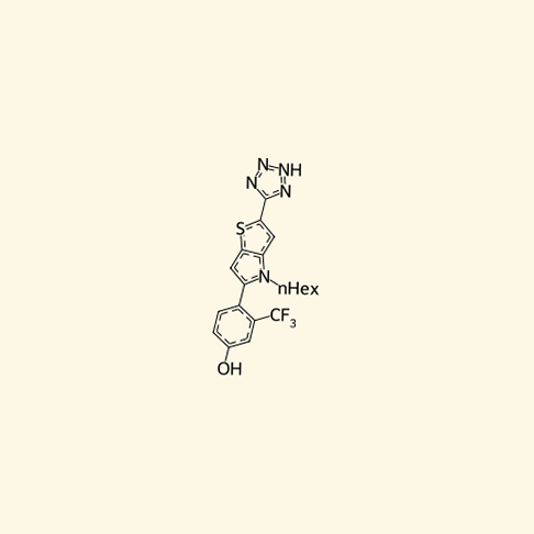 CCCCCCn1c(-c2ccc(O)cc2C(F)(F)F)cc2sc(-c3nn[nH]n3)cc21